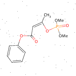 COP(=O)(OC)OC(C)=CC(=O)Oc1ccccc1